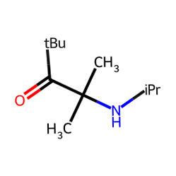 CC(C)NC(C)(C)C(=O)C(C)(C)C